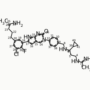 CC(=N)NCC[C@@H](NCc1ccc(-n2cc3cc(-c4cc(CCC[C@H](C)N)cc(Cl)c4F)[nH]c3nc2=O)cc1)C1CC1